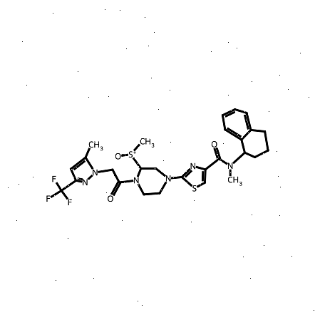 Cc1cc(C(F)(F)F)nn1CC(=O)N1CCN(c2nc(C(=O)N(C)C3CCCc4ccccc43)cs2)CC1[S+](C)[O-]